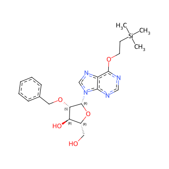 C[Si](C)(C)CCOc1ncnc2c1ncn2[C@@H]1O[C@H](CO)[C@@H](O)[C@@H]1OCc1ccccc1